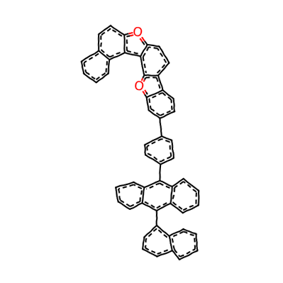 c1ccc2c(-c3c4ccccc4c(-c4ccc(-c5ccc6c(c5)oc5c6ccc6oc7ccc8ccccc8c7c65)cc4)c4ccccc34)cccc2c1